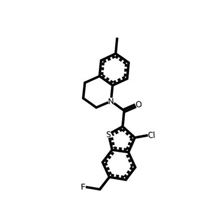 Cc1ccc2c(c1)CCCN2C(=O)c1sc2cc(CF)ccc2c1Cl